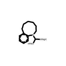 CCCCCCCC(CCCCCC)N1CCCCCCc2ccccc21